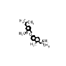 COc1cc(CC(C)C)ccc1COc1ccc2c(c1)CCC(CN(C)C)=C2C